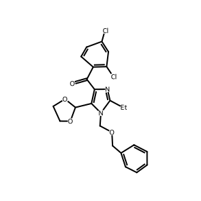 CCc1nc(C(=O)c2ccc(Cl)cc2Cl)c(C2OCCO2)n1COCc1ccccc1